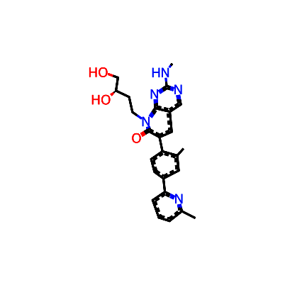 CNc1ncc2cc(-c3ccc(-c4cccc(C)n4)cc3C)c(=O)n(CC[C@@H](O)CO)c2n1